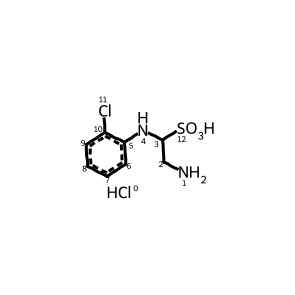 Cl.NCC(Nc1ccccc1Cl)S(=O)(=O)O